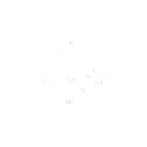 NCC(=O)N[C@@H](Cc1ccc(OCC(=O)O)cc1)C(N)=O.NCCc1c[nH]c2ccc(O)cc12